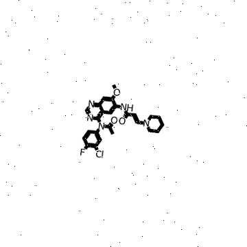 COc1cc2ncnc(N(C(C)=O)c3ccc(F)c(Cl)c3)c2cc1NC(=O)C=CN1CCCCC1